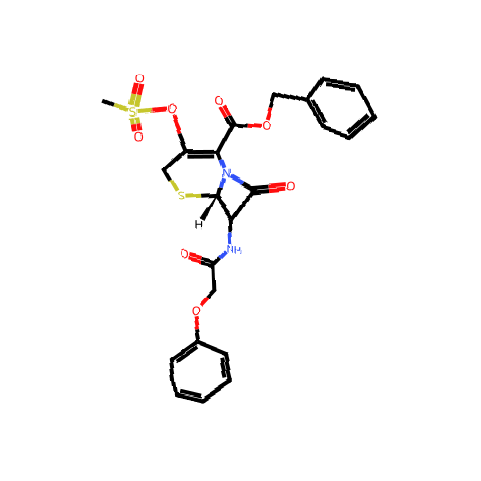 CS(=O)(=O)OC1=C(C(=O)OCc2ccccc2)N2C(=O)C(NC(=O)COc3ccccc3)[C@@H]2SC1